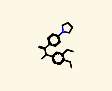 C=C(c1ccc(N2CCCC2)cc1)C(C)c1ccc(CC)c(CC)c1